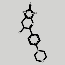 S=c1[nH]c2c([nH]1)N=C(c1ccc(N3CCOCC3)cc1)C(Cl)C2